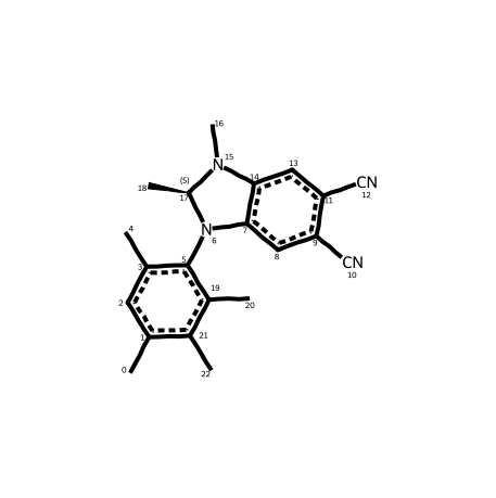 Cc1cc(C)c(N2c3cc(C#N)c(C#N)cc3N(C)[C@@H]2C)c(C)c1C